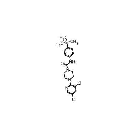 C[Si](C)(C)c1ccc(NC(=O)N2CCN(c3ncc(Cl)cc3Cl)CC2)cc1